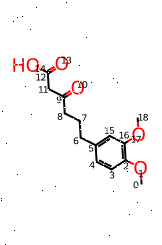 COc1ccc(CCCC(=O)CC(=O)O)cc1OC